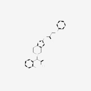 O=C(COc1ccccc1)Oc1cc2c(s1)CCN(C(C(=O)O)c1ccccc1Cl)C2